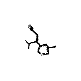 Cc1cncc(C(CC#N)C(C)C)c1